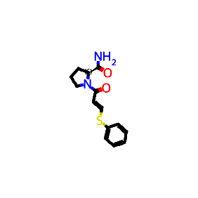 NC(=O)[C@@H]1CCCN1C(=O)C=CSc1ccccc1